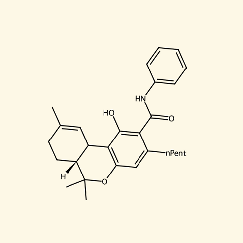 CCCCCc1cc2c(c(O)c1C(=O)Nc1ccccc1)C1C=C(C)CC[C@H]1C(C)(C)O2